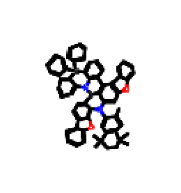 Cc1cc2c(cc1N1c3cc4oc5ccccc5c4c4c3B(c3ccc5c(oc6ccccc65)c31)N1c3ccccc3[Si](c3ccccc3)(c3ccccc3)c3cccc-4c31)C(C)(C)CCC2(C)C